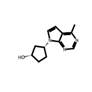 Cc1ncnc2c1ccn2[C@@H]1C[CH][C@H](O)C1